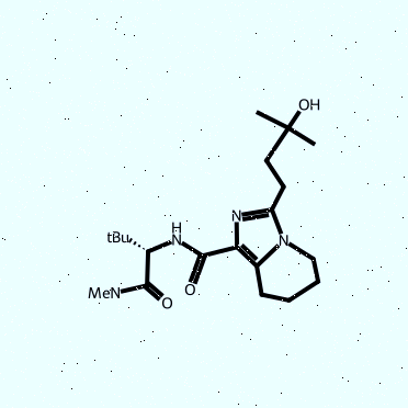 CNC(=O)[C@@H](NC(=O)c1nc(CCC(C)(C)O)n2c1CCCC2)C(C)(C)C